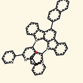 c1ccc(-n2c3ccccc3c3cc(-c4ccc5ccccc5c4)c4c5ccccc5n(-c5cc(-c6ccccn6)nc(-c6ccccn6)c5)c4c32)cc1